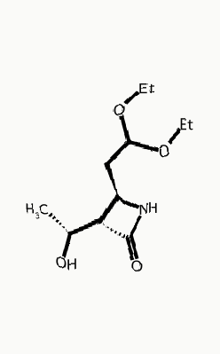 CCOC(C[C@H]1NC(=O)[C@@H]1[C@@H](C)O)OCC